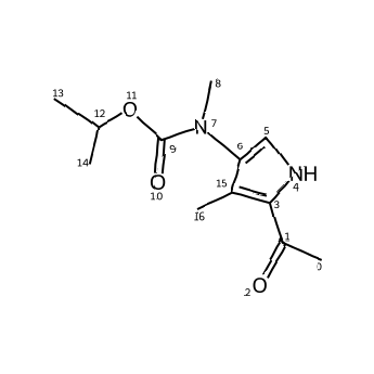 CC(=O)c1[nH]cc(N(C)C(=O)OC(C)C)c1C